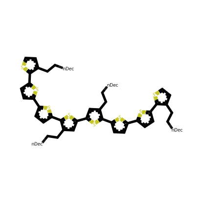 CCCCCCCCCCCCc1ccsc1-c1ccc(-c2ccc(-c3sc(-c4cc(CCCCCCCCCCCC)c(-c5ccc(-c6ccc(-c7sccc7CCCCCCCCCCCC)s6)s5)s4)cc3CCCCCCCCCCCC)s2)s1